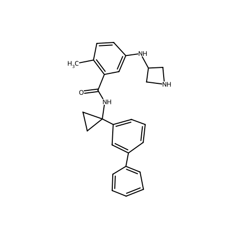 Cc1ccc(NC2CNC2)cc1C(=O)NC1(c2cccc(-c3ccccc3)c2)CC1